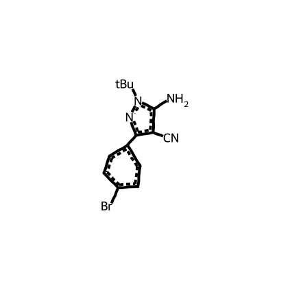 CC(C)(C)n1nc(-c2ccc(Br)cc2)c(C#N)c1N